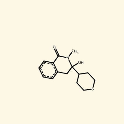 CN1C(=O)c2ccccc2CC1(O)C1CCSCC1